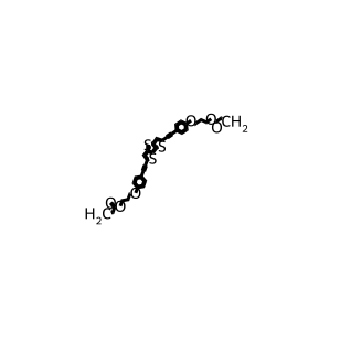 C=CC(=O)OCCCOc1ccc(C#Cc2cc3sc4cc(C#Cc5ccc(OCCCOC(=O)C=C)cc5)sc4c3s2)cc1